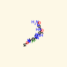 CCc1cc(Nc2nccn3c(-c4ccc(-c5cn(COCC[Si](C)(C)C)nc5C)c(F)c4F)cnc23)ccc1C(=O)NCC1CCN(CC(N)=O)CC1